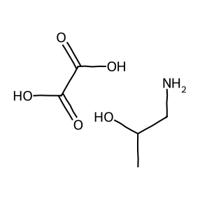 CC(O)CN.O=C(O)C(=O)O